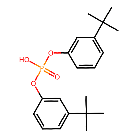 CC(C)(C)c1cccc(OP(=O)(O)Oc2cccc(C(C)(C)C)c2)c1